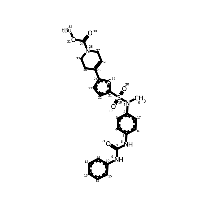 CN(c1ccc(NC(=O)Nc2ccccc2)cc1)S(=O)(=O)c1ccc(C2=CCN(C(=O)OC(C)(C)C)CC2)s1